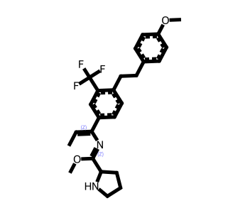 C/C=C(\N=C(/OC)C1CCCN1)c1ccc(CCc2ccc(OC)cc2)c(C(F)(F)F)c1